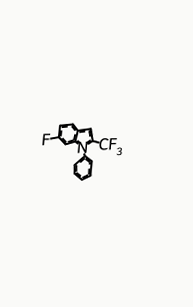 Fc1ccc2cc(C(F)(F)F)n(-c3ccccc3)c2c1